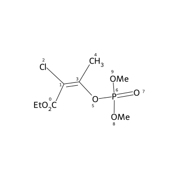 CCOC(=O)C(Cl)=C(C)OP(=O)(OC)OC